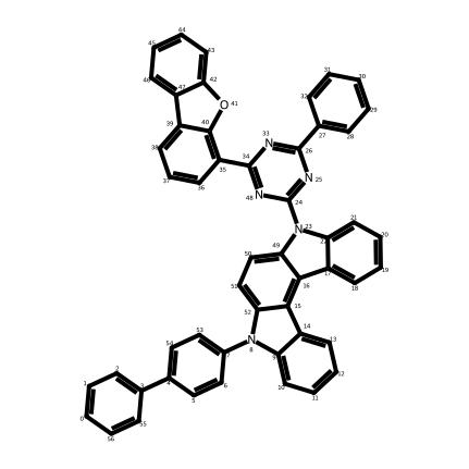 c1ccc(-c2ccc(-n3c4ccccc4c4c5c6ccccc6n(-c6nc(-c7ccccc7)nc(-c7cccc8c7oc7ccccc78)n6)c5ccc43)cc2)cc1